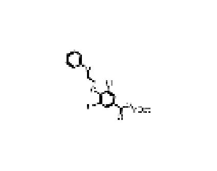 CCCCCCCCOC(=O)c1cc(Cl)c(OCCOc2ccccc2)c(Cl)c1